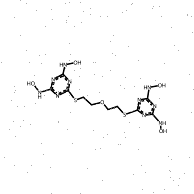 ONc1nc(NO)nc(SCCOCCSc2nc(NO)nc(NO)n2)n1